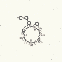 CC[C@H](C)[C@@H]1NC(=O)[C@@H]2CCCN2C(=O)[C@H](Cc2cccc(-c3ccnc(N4CCC(C)CC4)c3)c2)N(C)C(=O)[C@H](Cc2ccccc2)NC(=O)C(C(C)C)N(C)C(=O)[C@@H]([C@@H](C)CC)OC(=O)[C@H](C(C)(C)O)N(C)C(=O)[C@H](CC(C)C)NC(=O)C(C(C)C)N(C)C1=O